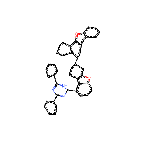 c1ccc(C2=NC(c3cccc4oc5cc(-c6cc7c8ccccc8oc7c7ccccc67)ccc5c34)NC(c3ccccc3)=N2)cc1